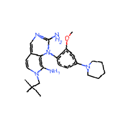 COc1cc(N2CCCCC2)ccc1N1C(N)=NC=C2C=CN(CC(C)(C)C)C(N)=C21